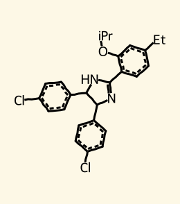 CCc1ccc(C2=NC(c3ccc(Cl)cc3)C(c3ccc(Cl)cc3)N2)c(OC(C)C)c1